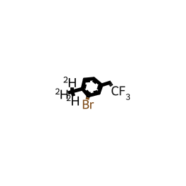 [2H]C([2H])([2H])c1ccc(CC(F)(F)F)cc1Br